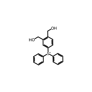 OCc1ccc([S+](c2ccccc2)c2ccccc2)cc1CO